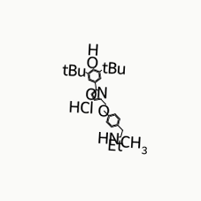 CCNC(C)Cc1ccc(OCc2coc(-c3cc(C(C)(C)C)c(O)c(C(C)(C)C)c3)n2)cc1.Cl